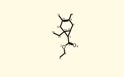 CCOC(=O)C1C2CC(C)=C(C)CC21CC